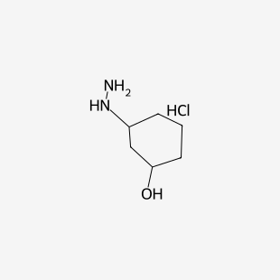 Cl.NNC1CCCC(O)C1